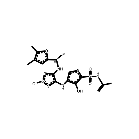 C=C(C)NS(=O)(=O)c1scc(Nc2n[s+]([O-])nc2N[C@@H](c2cc(C)c(C)o2)C(C)C)c1O